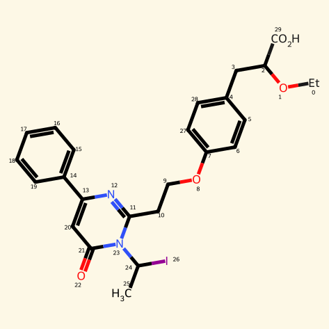 CCOC(Cc1ccc(OCCc2nc(-c3ccccc3)cc(=O)n2C(C)I)cc1)C(=O)O